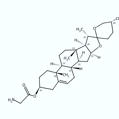 C[C@@H]1CCC2(OC1)O[C@H]1C[C@H]3[C@@H]4CC=C5C[C@@H](OC(=O)CN)CC[C@]5(C)[C@H]4CC[C@]3(C)[C@H]1[C@@H]2C